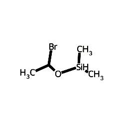 CC(Br)O[SiH](C)C